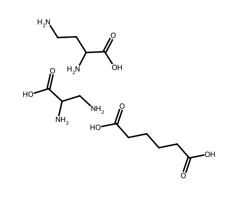 NCC(N)C(=O)O.NCCC(N)C(=O)O.O=C(O)CCCCC(=O)O